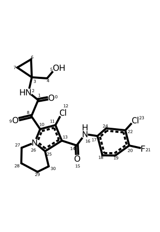 O=C(NC1(CO)CC1)C(=O)c1c(Cl)c(C(=O)Nc2ccc(F)c(Cl)c2)c2n1CCCC2